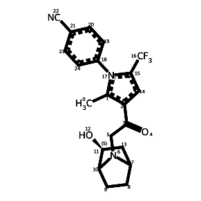 Cc1c(C(=O)CN2C3CCC2[C@@H](O)C3)cc(C(F)(F)F)n1-c1ccc(C#N)cc1